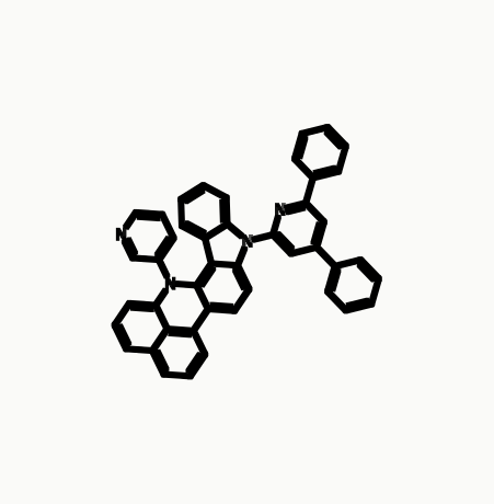 c1ccc(-c2cc(-c3ccccc3)nc(-n3c4ccccc4c4c5c(ccc43)-c3cccc4cccc(c34)N5c3cccnc3)c2)cc1